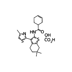 Cc1csc(-c2c(NC(=O)C3CC=CCC3)sc3c2CCC(C)(C)C3)n1.O=C(O)O